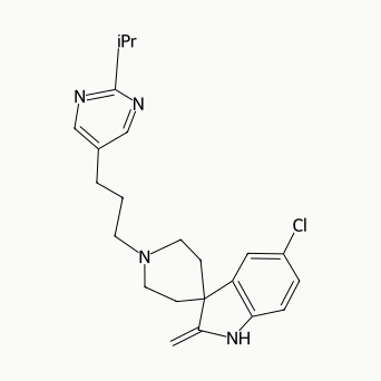 C=C1Nc2ccc(Cl)cc2C12CCN(CCCc1cnc(C(C)C)nc1)CC2